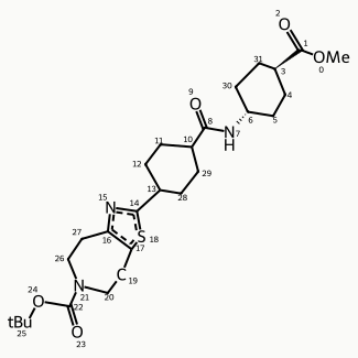 COC(=O)[C@H]1CC[C@H](NC(=O)C2CCC(c3nc4c(s3)CCN(C(=O)OC(C)(C)C)CC4)CC2)CC1